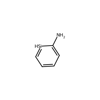 Nc1cccc[siH]1